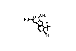 CCC1Cc2c(ccc(C#N)c2C(F)(F)F)N1CC(N)=O